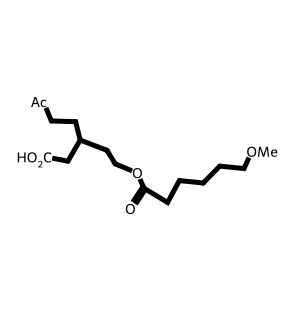 COCCCCCC(=O)OCCC(CCC(C)=O)CC(=O)O